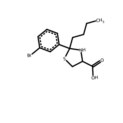 CCCCC1(c2cccc(Br)c2)NC(C(=O)O)CS1